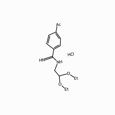 CCOC(CNC(=N)c1ccc(C(C)=O)cc1)OCC.Cl